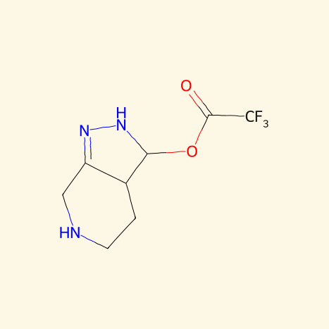 O=C(OC1NN=C2CNCCC21)C(F)(F)F